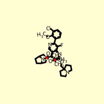 COc1c(Cl)cccc1-c1ncc2c(N3CC4CCC(C3)N4C(=O)OC(C)(C)C)nc(OCC34CCCN3CCC4)nc2c1F